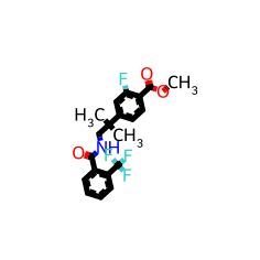 COC(=O)c1ccc(C(C)(C)CNC(=O)c2ccccc2C(F)(F)F)cc1F